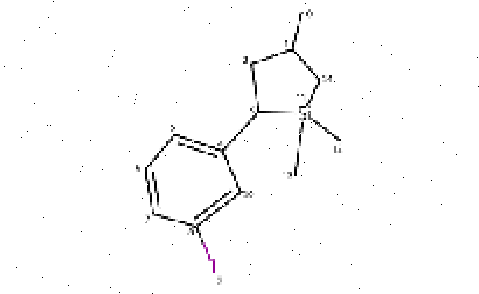 CC1CC(c2cccc(I)c2)[Si](C)(C)C1